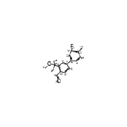 COC(C)(C)c1cc(-c2ccc(C)c(F)c2)ccc1C=O